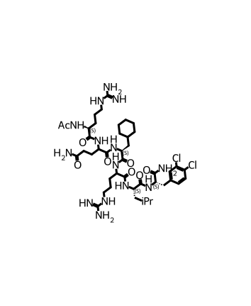 CC(=O)N[C@@H](CCCNC(=N)N)C(=O)NC(CCC(N)=O)C(=O)N[C@@H](CC1CCCCC1)C(=O)NC(CCCNC(=N)N)C(=O)N[C@@H](CC(C)C)C(=O)N[C@@H](Cc1ccc(Cl)c(Cl)c1)C(N)=O